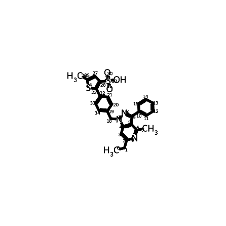 CCc1cc2c(c(C)n1)c(-c1ccccc1)nn2Cc1ccc(-c2sc(C)cc2S(=O)(=O)O)cc1